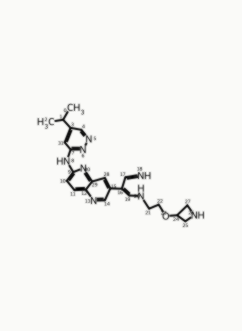 CC(C)c1cnnc(Nc2ccc3ncc(/C(C=N)=C/NCCOC4CNC4)cc3n2)c1